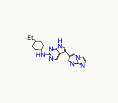 CCC1CCC(Nc2ncc3c(-c4cnc5nccn5c4)c[nH]c3n2)CC1